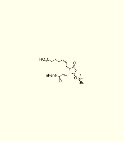 CCCCCC(=O)/C=C/[C@H]1[C@H](O[Si](C)(C)C(C)(C)C)CC(=O)[C@@H]1C/C=C\CCCC(=O)O